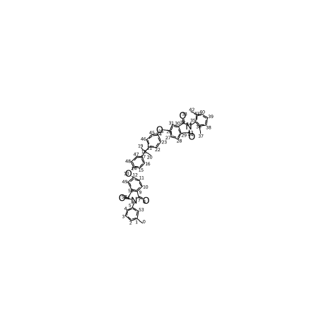 Cc1cccc(N2C(=O)c3ccc(Oc4ccc(C(C)(C)c5ccc(Oc6ccc7c(c6)C(=O)N(c6c(C)cccc6C)C7=O)cc5)cc4)cc3C2=O)c1